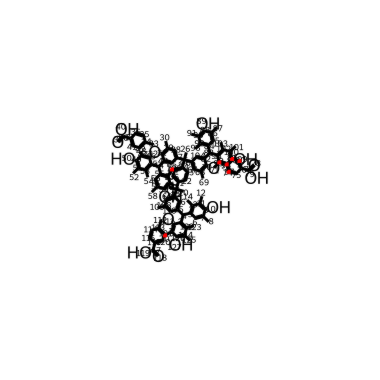 Cc1cc(C(c2cc(C)c(O)c(C)c2C)c2cc(C(C)(C)c3ccc(C(C)(c4cc(C)c(OCc5ccc(C(=O)O)cc5)c(C(c5cc(C)c(O)c(C)c5C)c5cc(C)c(O)c(C)c5C)c4)c4cc(C)c(OCc5ccc(C(=O)O)cc5)c(C(c5cc(C)c(O)c(C)c5C)c5cc(C)c(O)c(C)c5C)c4)cc3)cc(C)c2OCc2ccc(C(=O)O)cc2)c(C)c(C)c1O